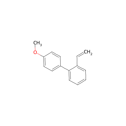 C=Cc1ccccc1-c1ccc(OC)cc1